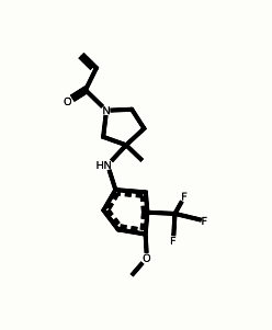 C=CC(=O)N1CCC(C)(Nc2ccc(OC)c(C(F)(F)F)c2)C1